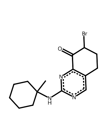 CC1(Nc2ncc3c(n2)C(=O)C(Br)CC3)CCCCC1